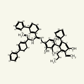 C=Cc1c(O)cc(-c2ccccc2)c(-c2c(O)cc(C/N=C(\NC(N=C)C3=CC=C(c4ccccc4)CC3)c3cccc(-c4ccccc4)c3)c(O)c2C)c1CCC